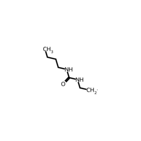 [CH2]CNC(=O)NCCCC